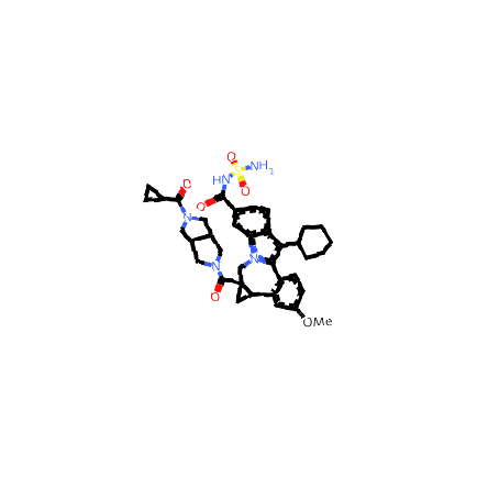 COc1ccc2c(c1)C1CC1(C(=O)N1CC3CN(C(=O)C4CC4)CC3C1)Cn1c-2c(C2CCCCC2)c2ccc(C(=O)NS(N)(=O)=O)cc21